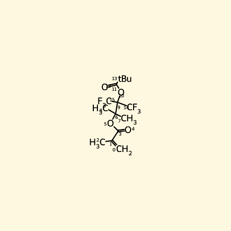 C=C(C)C(=O)OC(C)(C)C(OC(=O)C(C)(C)C)(C(F)(F)F)C(F)(F)F